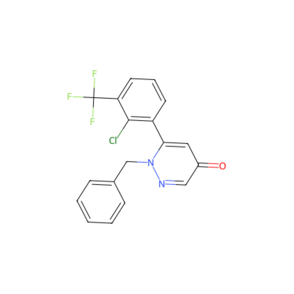 O=c1cnn(Cc2ccccc2)c(-c2cccc(C(F)(F)F)c2Cl)c1